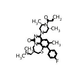 C=CC(=O)N1[C@H](C)CN(c2nc(=O)n3c4c(c(-c5ccc(F)cc5)c(C)cc24)SC[C@@H](CN(C)C)C3)C[C@@H]1C